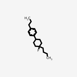 CCCCC1(F)CCC(c2ccc(CCC)cc2)CC1